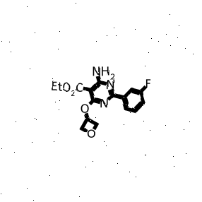 CCOC(=O)c1c(N)nc(-c2cccc(F)c2)nc1OC1COC1